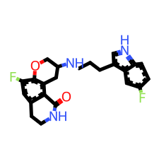 O=C1NCCc2cc(F)c3c(c21)CC(NCCCc1c[nH]c2ccc(F)cc12)CO3